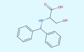 O=C(O)C(CO)NC(c1ccccc1)c1ccccc1